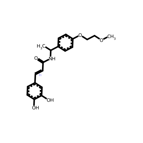 COCCOc1ccc(C(C)NC(=O)/C=C/c2ccc(O)c(O)c2)cc1